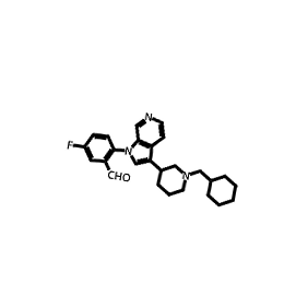 O=Cc1cc(F)ccc1-n1cc(C2CCCN(CC3CCCCC3)C2)c2ccncc21